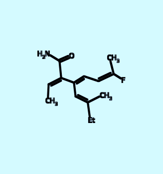 C/C=C(/C(N)=O)C(=C/C=C(\C)F)/C=C(\C)CC